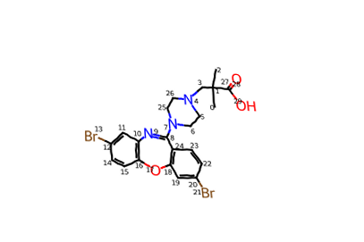 CC(C)(CN1CCN(C2=Nc3cc(Br)ccc3Oc3cc(Br)ccc32)CC1)C(=O)O